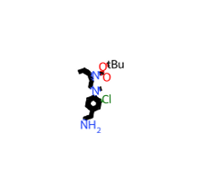 C/C=C1\C(CN(C)c2ccc(CCN)cc2Cl)N1C(=O)OC(C)(C)C